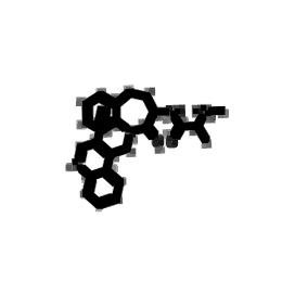 C#Cc1cnc2ccccc2c1CN1C(=O)C(NC(=O)C(C)NC)CCc2ccccc21